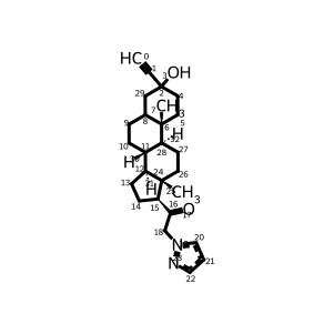 C#CC1(O)CC[C@@]2(C)C(CC[C@H]3[C@@H]4CC[C@H](C(=O)Cn5cccn5)[C@@]4(C)CC[C@@H]32)C1